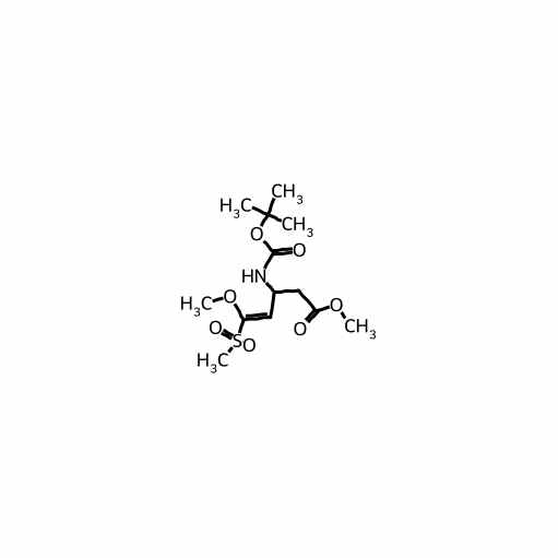 COC(=O)CC(/C=C(\OC)S(C)(=O)=O)NC(=O)OC(C)(C)C